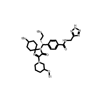 CCOC1CCCN(C2=NC3(CCC(C(C)(C)C)CC3)N([C@H](CCC(C)(C)C)c3ccc(C(=O)NCc4nn[nH]n4)cc3)C2=O)C1